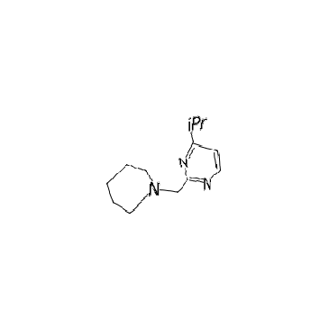 CC(C)c1ccnc(CN2CCCCC2)n1